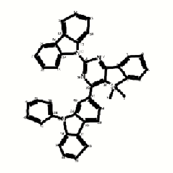 C[Si]1(C)c2ccccc2-c2nc(-n3c4ccccc4c4ccccc43)nc(-c3ccc4c5ccccc5n(-c5ccccc5)c4c3)c21